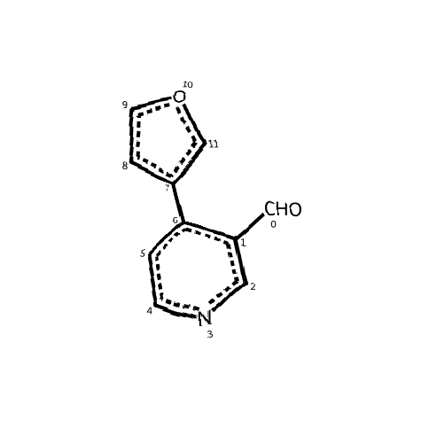 O=Cc1cnccc1-c1ccoc1